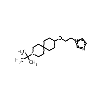 CC(C)(C)N1CCC2(CCC(OCCn3ccnc3)CC2)CC1